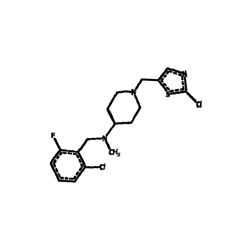 CN(Cc1c(F)cccc1Cl)C1CCN(Cc2cnc(Cl)s2)CC1